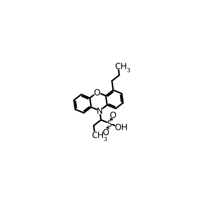 CCCc1cccc2c1Oc1ccccc1N2C(CC)S(=O)(=O)O